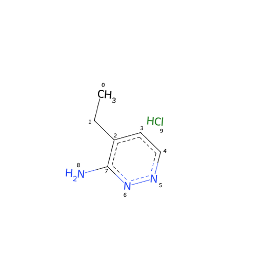 CCc1ccnnc1N.Cl